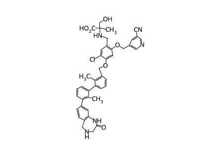 Cc1c(COc2cc(OCc3cncc(C#N)c3)c(CNC(C)(CO)C(=O)O)cc2Cl)cccc1-c1cccc(-c2ccc3c(c2)NC(=O)CNC3)c1C